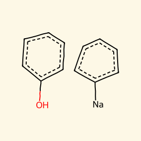 Oc1ccccc1.[Na][c]1ccccc1